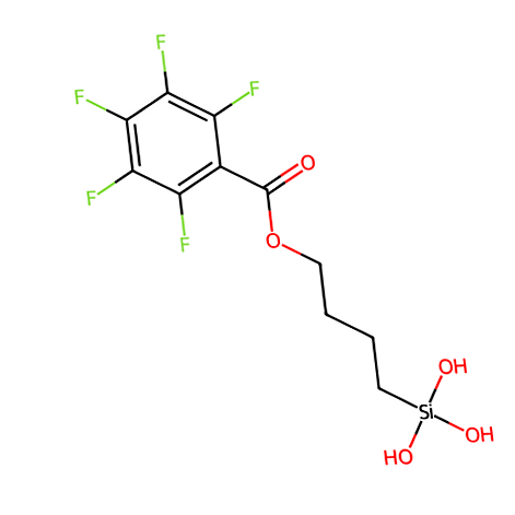 O=C(OCCCC[Si](O)(O)O)c1c(F)c(F)c(F)c(F)c1F